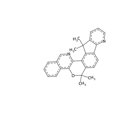 CC1(C)Oc2c(ncc3ccccc23)-c2c1ccc1c2C(C)(C)c2cccnc2-1